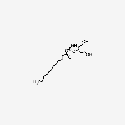 CCCCCCCCCCCC(=O)OB(O)ON(CCO)CCO